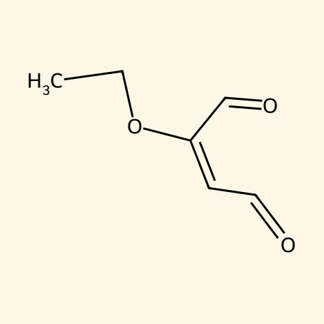 CCOC(C=O)=CC=O